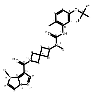 Cc1ccc(OC(F)(F)F)cc1NC(=O)N(C)C1CC2(C1)CN(C(=O)c1cnn3ccn(C)c13)C2